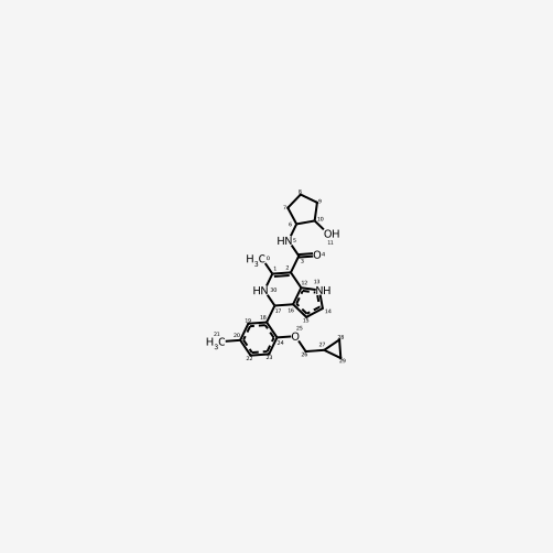 CC1=C(C(=O)NC2CCCC2O)c2[nH]ccc2C(c2cc(C)ccc2OCC2CC2)N1